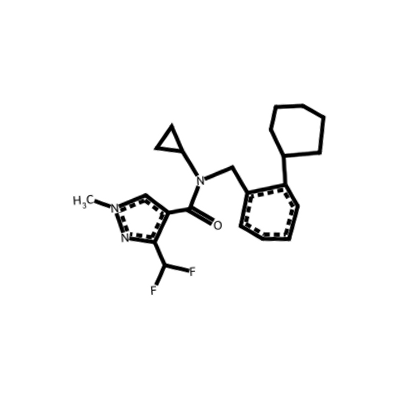 Cn1cc(C(=O)N(Cc2ccccc2C2CCCCC2)C2CC2)c(C(F)F)n1